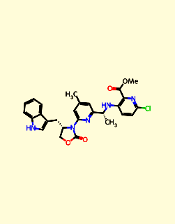 COC(=O)c1nc(Cl)ccc1N[C@H](C)c1cc(C)cc(N2C(=O)OC[C@@H]2Cc2c[nH]c3ccccc23)n1